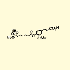 CCO[Si](CCCCCC(=O)Oc1ccc(C=CC(=O)O)cc1OC)(OCC)OCC